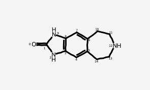 O=c1[nH]c2cc3c(cc2[nH]1)CCNCC3